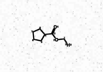 [2H]COC(=O)C1CCCC1